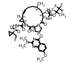 COc1ccc2c(O[C@@H]3C[C@H]4C(=O)N[C@]5(C(=O)NS(=O)(=O)C6(CF)CC6)C[C@H]5/C=C\CC[C@@H](C)C[C@@H](C)[C@H](NC(=O)OC(C)(C)C(F)(F)F)C(=O)N4C3)nc(N(C)C)nc2c1